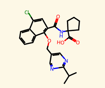 CC(C)c1ncc(COc2c(C(=O)NC3(C(=O)O)CCCC3)cc(Cl)c3ccccc23)cn1